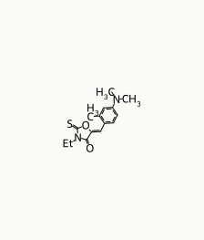 CCN1C(=O)C(=Cc2ccc(N(C)C)cc2C)OC1=S